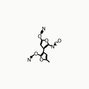 Cc1cc(-c2cc(OC#N)oc2N=C=O)c(OC#N)o1